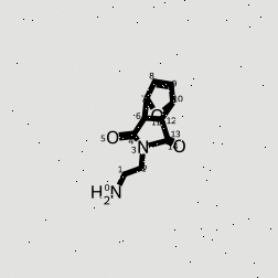 NCCN1C(=O)C2C3C=CC(O3)C2C1=O